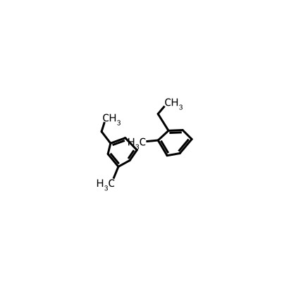 CCc1cccc(C)c1.CCc1ccccc1C